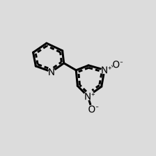 [O-][n+]1cc(-c2ccccn2)c[n+]([O-])c1